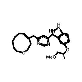 COC[C@H](C)Oc1ccc2c(c1)C(c1cc(C/C3=C/CCCCCOCC3)ncn1)NN2